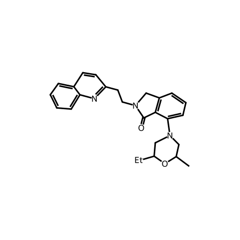 CCC1CN(c2cccc3c2C(=O)N(CCc2ccc4ccccc4n2)C3)CC(C)O1